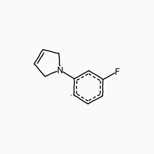 Fc1cc[c]c(N2CC=CC2)c1